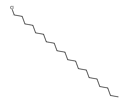 CCCCCCCCCCCCCCCCCCC[CH]Cl